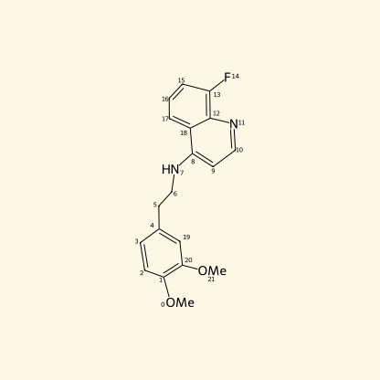 COc1ccc(CCNc2ccnc3c(F)cccc23)cc1OC